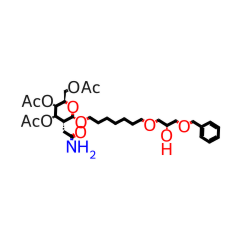 CC(=O)OC[C@H]1O[C@@H](OCCCCCCCOC[C@@H](O)COCc2ccccc2)[C@H](CC(N)=O)[C@@H](OC(C)=O)[C@H]1OC(C)=O